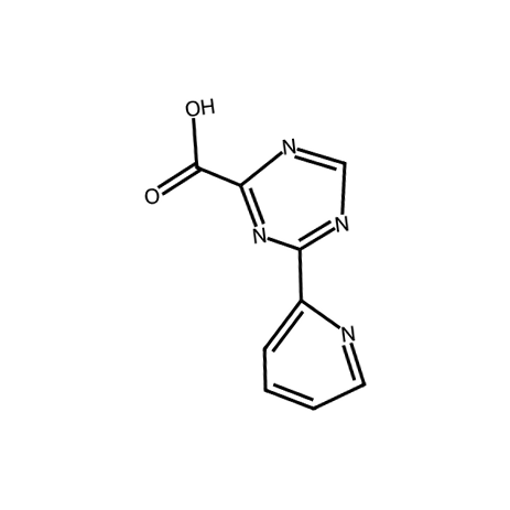 O=C(O)c1ncnc(-c2ccccn2)n1